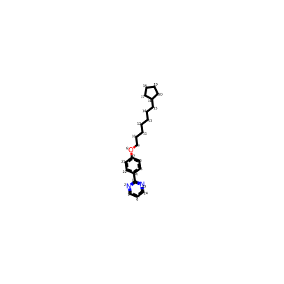 [c]1cnc(-c2ccc(OCCCCCCCC3CCCC3)cc2)nc1